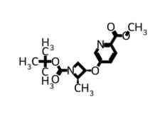 COC(=O)c1ccc(O[C@@H]2CN(C(=O)OC(C)(C)C)[C@@H]2C)cn1